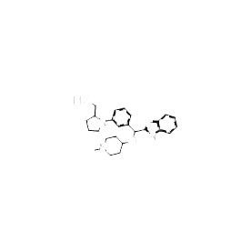 CN1CCC(OC(c2cccc(N3CCCC3CO)c2)c2nc3ccccc3s2)CC1